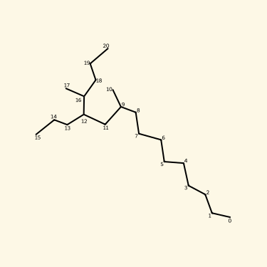 CCCCCCCCCC(C)CC(CCC)C(C)CCC